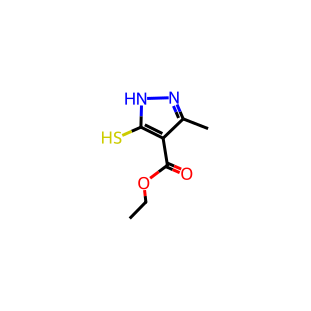 CCOC(=O)c1c(C)n[nH]c1S